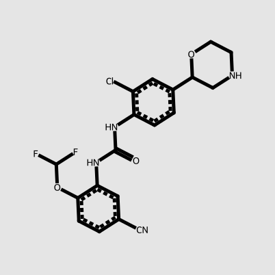 N#Cc1ccc(OC(F)F)c(NC(=O)Nc2ccc(C3CNCCO3)cc2Cl)c1